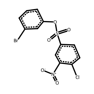 O=[N+]([O-])c1cc(S(=O)(=O)Oc2cccc(Br)c2)ccc1Cl